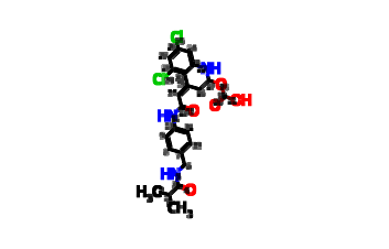 CC(C)C(=O)NCc1ccc(NC(=O)/C=C2\CC(OC(=O)O)Nc3cc(Cl)cc(Cl)c32)cc1